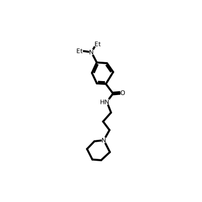 CCN(CC)c1ccc(C(=O)NCCCN2CCCCC2)cc1